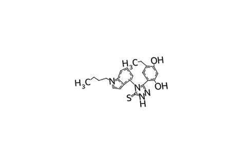 CCCCn1ccc2c(-n3c(-c4cc(CC)c(O)cc4O)n[nH]c3=S)cccc21